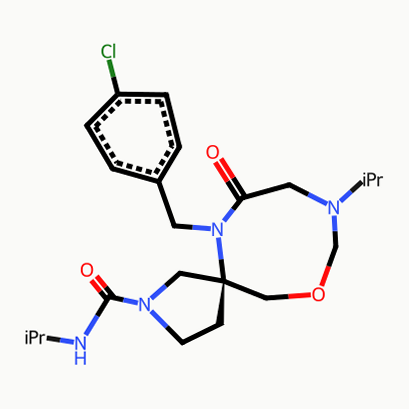 CC(C)NC(=O)N1CC[C@@]2(COCN(C(C)C)CC(=O)N2Cc2ccc(Cl)cc2)C1